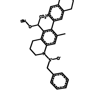 Cc1cc2c(c(C(OC(C)(C)C)C(=O)O)c1-c1ccc3c(c1)CCCO3)CCCN2[S+]([O-])Cc1ccccc1